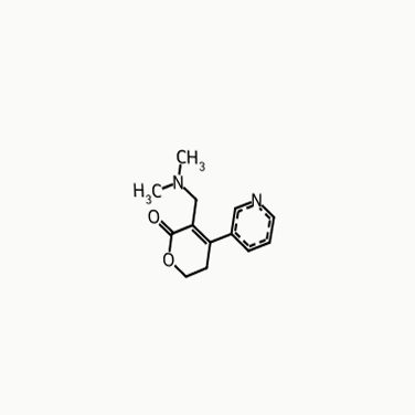 CN(C)CC1=C(c2cccnc2)CCOC1=O